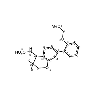 COCOc1ccccc1-c1ccc2c(c1)OCC(C)(C)C2NC(=O)O